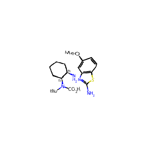 CC(C)(C)N(C(=O)O)[C@H]1CCCC[C@H]1N.COc1ccc2sc(N)nc2c1